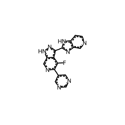 Fc1c(-c2cncnc2)ncc2[nH]nc(-c3nc4cnccc4[nH]3)c12